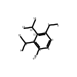 CCc1ccc(F)c(C(C)C)c1C(C)C